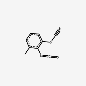 Cc1cccc(SC#N)c1N=C=S